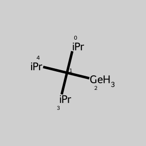 CC(C)[C]([GeH3])(C(C)C)C(C)C